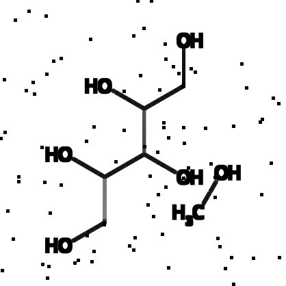 CO.OCC(O)C(O)C(O)CO